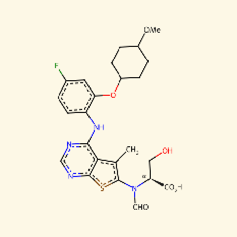 COC1CCC(Oc2cc(F)ccc2Nc2ncnc3sc(N(C=O)[C@@H](CO)C(=O)O)c(C)c23)CC1